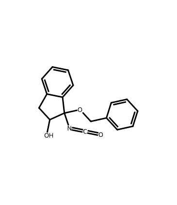 O=C=NC1(OCc2ccccc2)c2ccccc2CC1O